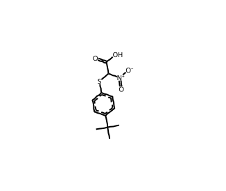 CC(C)(C)c1ccc(SC(C(=O)O)[N+](=O)[O-])cc1